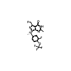 Cc1nc2c(c(CF)nn2[C@@H](C)c2ccc(OC(F)(F)F)c(F)c2)c(=O)[nH]1